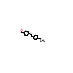 C=Cc1ccc(C=Cc2ccc(C=O)cc2)cc1